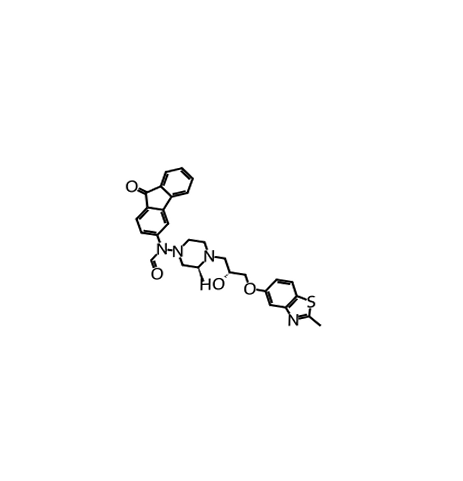 Cc1nc2cc(OC[C@H](O)CN3CCN(N(C=O)c4ccc5c(c4)-c4ccccc4C5=O)C[C@@H]3C)ccc2s1